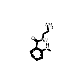 CNc1ccccc1C(=O)NCCN